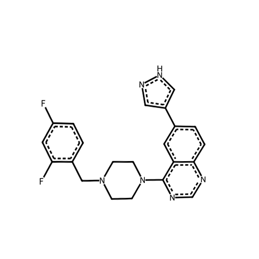 Fc1ccc(CN2CCN(c3ncnc4ccc(-c5cn[nH]c5)cc34)CC2)c(F)c1